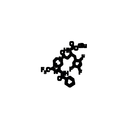 CC(C)(C)OC(=O)NC(CC(=O)N1CCn2c(C(F)(F)F)nc(NC(=O)c3ccccc3)c2C1)Cc1cc(F)c(F)cc1F